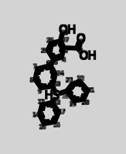 O=C(O)c1cc(-c2cccc([SH](c3ccccc3)c3ccccc3)c2)ccc1O